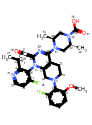 COc1cccc(F)c1N1CCC2=C(C1)N(c1c(F)ccnc1C(C)C)C(=C=O)N=C2N1C[C@@H](C)N(C(=O)O)C[C@@H]1C